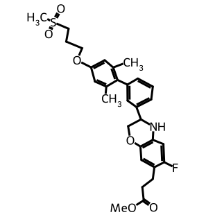 COC(=O)CCc1cc2c(cc1F)NC(c1cccc(-c3c(C)cc(OCCCS(C)(=O)=O)cc3C)c1)CO2